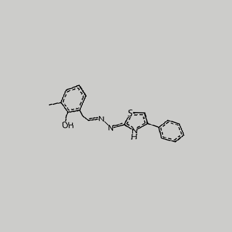 Cc1cccc(/C=N/N=c2/[nH]c(-c3ccccc3)cs2)c1O